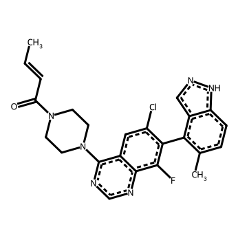 CC=CC(=O)N1CCN(c2ncnc3c(F)c(-c4c(C)ccc5[nH]ncc45)c(Cl)cc23)CC1